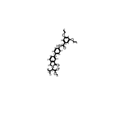 CCOc1cc(OCC)cc(C(=O)Nc2ccc(-c3ccc4c(c3)C(=O)N(C(C(=O)OC)C(C)C)C4)cc2)c1